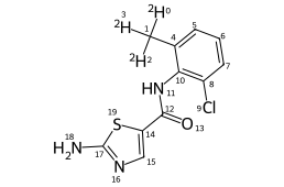 [2H]C([2H])([2H])c1cccc(Cl)c1NC(=O)c1cnc(N)s1